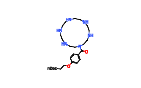 CCCCCCCCCCCCOc1ccc(C(=O)N2CCNCCNCCNCCNCCNCC2)cc1